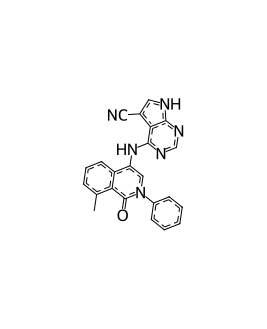 Cc1cccc2c(Nc3ncnc4[nH]cc(C#N)c34)cn(-c3ccccc3)c(=O)c12